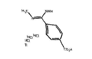 CN=C(NC)c1ccc(C(=O)O)cc1.Cl.Cl.Cl.[Ti]